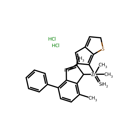 CC1=Cc2c(-c3ccccc3)ccc(C)c2[CH]1[Zr]([CH3])([CH3])(=[SiH2])[C]1=C2SCC=C2C=C1C(C)C.Cl.Cl